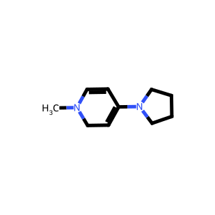 CN1C=CC(N2CCCC2)=CC1